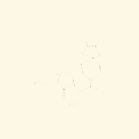 CC(C)C[C@@H]1NCCN([C@@H](CC(C)C)C(=O)N2CCC3(CC2)CNC(=O)C3)C1=O